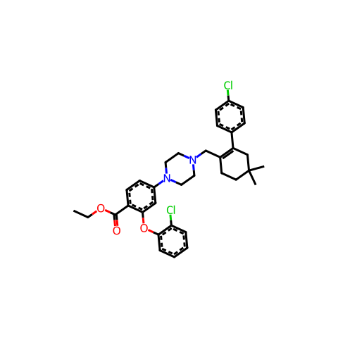 CCOC(=O)c1ccc(N2CCN(CC3=C(c4ccc(Cl)cc4)CC(C)(C)CC3)CC2)cc1Oc1ccccc1Cl